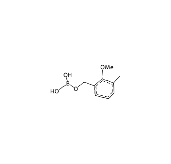 COc1c(C)cccc1COB(O)O